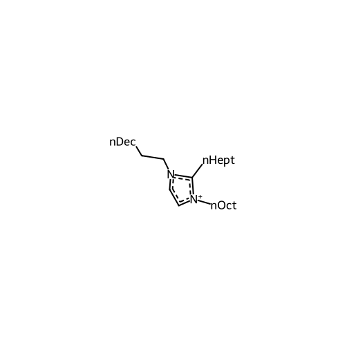 CCCCCCCCCCCCn1cc[n+](CCCCCCCC)c1CCCCCCC